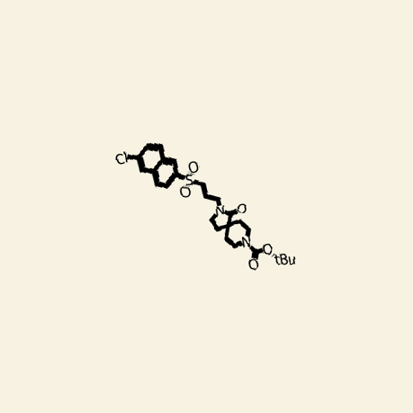 CC(C)(C)OC(=O)N1CCC2(CC1)CCN(CCCS(=O)(=O)c1ccc3cc(Cl)ccc3c1)C2=O